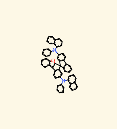 c1ccc(N(c2ccc3c(c2)C2(c4ccccc4-3)c3cc(N(c4ccccc4)c4cccc5ccccc45)ccc3-c3c2oc2ccccc32)c2cccc3ccccc23)cc1